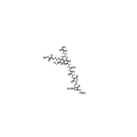 CC(=O)NC(CSC1CC(=O)N(CCC(=O)NCC(O)CCC(=O)NC(CCCCNC(=O)C(C)C)C(=O)NC(CCCCNC(=O)CBr)C(N)=O)C1=O)C(=O)NCCO